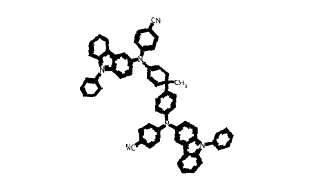 CC1(c2ccc(N(c3ccc(C#N)cc3)c3ccc4c(c3)c3ccccc3n4-c3ccccc3)cc2)C=CC(N(C2=CCC(C#N)C=C2)c2ccc3c(c2)c2c(n3C3=CC=CCC3)C=CCC2)=CC1